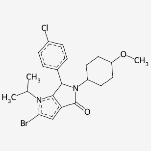 COC1CCC(N2C(=O)c3cc(Br)n(C(C)C)c3C2c2ccc(Cl)cc2)CC1